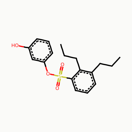 CCCc1cccc(S(=O)(=O)Oc2cccc(O)c2)c1CCC